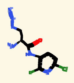 [N-]=[N+]=NC[C@@H](N)C(=O)Nc1ccc(Cl)nc1Cl